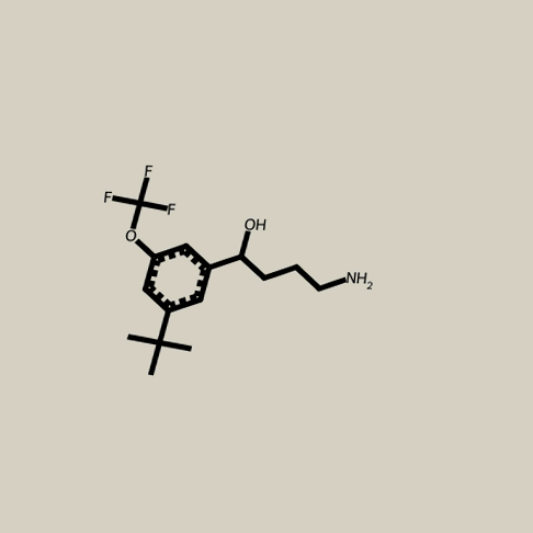 CC(C)(C)c1cc(OC(F)(F)F)cc(C(O)CCCN)c1